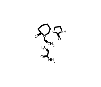 C=CC(N)=O.C=CN1CCCCCC1=O.O=C1NCCO1